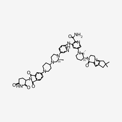 C[C@@H]1[C@@H](N2CCn3c(cc4c3CC(C)(C)C4)C2=O)CCCN1c1cnc(C(N)=O)c(Nc2ccc(N3CCN(C4CCN(c5ccc6c(c5)C(=O)N(C5CCC(=O)NC5=O)C6=O)CC4)C[C@@H]3C)cn2)c1